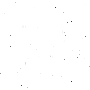 Cc1[nH]c2c(C(N)=O)cc(F)c(-c3cccc4c3SCCN4)c2c1C.O=C(O)C(F)(F)F